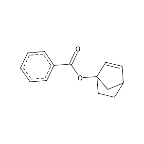 O=C(OC12C=CC(CC1)C2)c1ccccc1